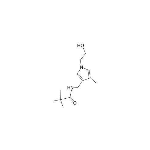 Cc1cn(CCO)cc1CNC(=O)C(C)(C)C